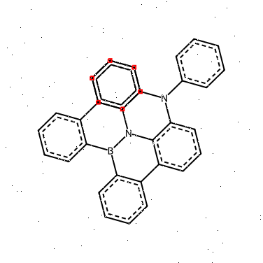 c1ccc(N(c2ccccc2)c2cccc3c2N2B(c4ccccc4-c4ccccc42)c2ccccc2-3)cc1